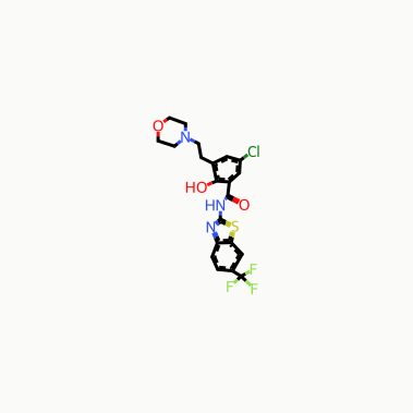 O=C(Nc1nc2ccc(C(F)(F)F)cc2s1)c1cc(Cl)cc(CCN2CCOCC2)c1O